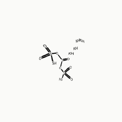 O=S(OS(=O)(=O)S)OS(=O)(=O)S.[KH].[KH].[KH].[KH]